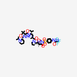 CO[C@H]([C@@H](C)C(=O)NS(=O)(=O)c1ccc(NC(=O)C(F)(F)F)cc1)[C@@H]1CCCN1C(=O)/C(C)=C/[C@H](C(C)C)N(C)C(=O)[C@@H](NC(=O)[C@H]1CCCCN1C(C)C)C(C)(C)C